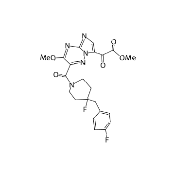 COC(=O)C(=O)c1cnc2nc(OC)c(C(=O)N3CCC(F)(Cc4ccc(F)cc4)CC3)nn12